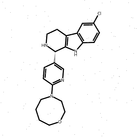 Clc1ccc2[nH]c3c(c2c1)CCN[C@H]3c1ccc(N2CCCCOCC2)nc1